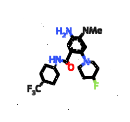 CNc1cc(N2CCC(F)CC2)c(C(=O)N[C@H]2CC[C@H](C(F)(F)F)CC2)cc1N